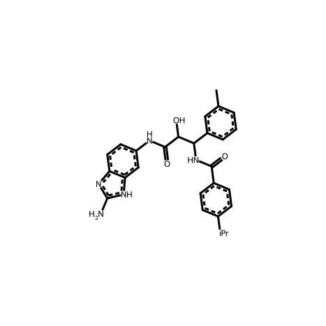 Cc1cccc(C(NC(=O)c2ccc(C(C)C)cc2)C(O)C(=O)Nc2ccc3nc(N)[nH]c3c2)c1